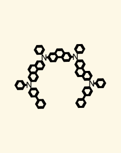 c1ccc(-c2ccc(N(c3ccccc3)c3ccc4c(ccc5cc(N(c6ccccc6)c6ccc7c(ccc8cc(N(c9ccccc9)c9ccc%10c(ccc%11cc(N(c%12ccccc%12)c%12ccc(-c%13ccccc%13)cc%12)ccc%11%10)c9)ccc87)c6)ccc54)c3)cc2)cc1